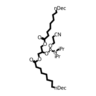 CCCCCCCCCCCCCCCCCC(=O)OCC(COC(=O)CCCCCCCCCCCCCCCCC)OP(OCCC#N)N(C(C)C)C(C)C